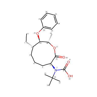 CC[C@H]1CCC[C@H](N(C(=O)O)C(C)(C)C)C(=O)O[C@@H](C)[C@@H]1Oc1ccccc1